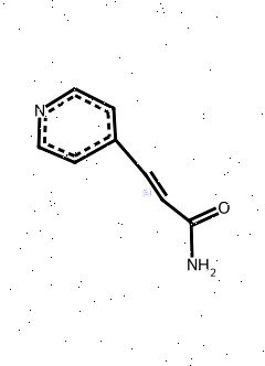 NC(=O)/C=C/c1ccncc1